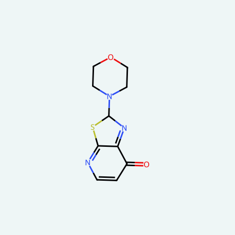 O=C1C=CN=C2SC(N3CCOCC3)N=C12